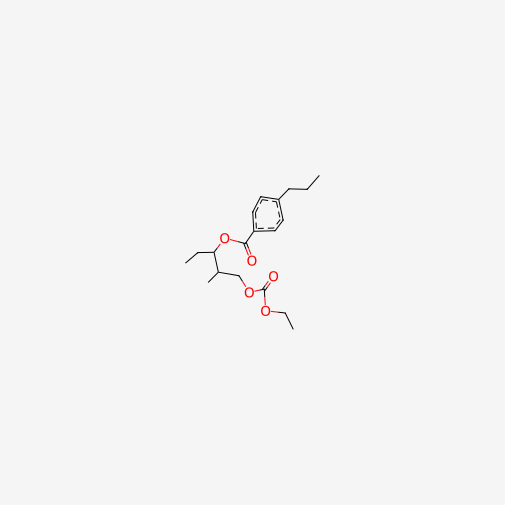 CCCc1ccc(C(=O)OC(CC)C(C)COC(=O)OCC)cc1